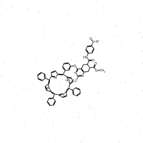 COC(=O)C1Cc2nc(C)nc(Oc3cccc(-c4c5nc(c(-c6ccccc6)c6ccc([nH]6)c(-c6ccccc6)c6nc(c(-c7ccccc7)c7ccc4[nH]7)C=C6)C=C5)c3)c2CC1C(=O)Nc1ccc([N+](=O)[O-])cc1